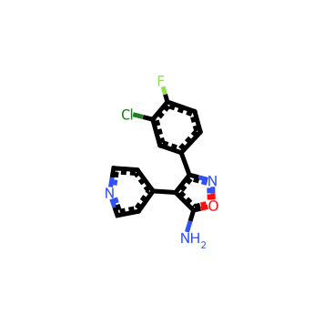 Nc1onc(-c2ccc(F)c(Cl)c2)c1-c1ccncc1